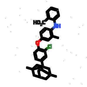 Cc1cc(Oc2ccc(C34CC5CC(C)(CC(C)(C5)C3)C4)cc2Cl)ccc1Nc1ccccc1C(=O)O